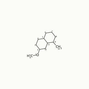 COC1CCC2CC[CH][C](C)C2C1